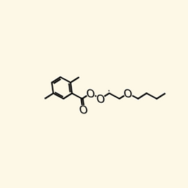 CCCCOC[CH]OOC(=O)c1cc(C)ccc1C